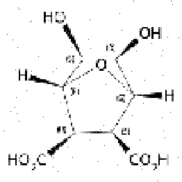 O=C(O)[C@@H]1[C@@H]2O[C@@H]([C@@H](O)[C@H]2O)[C@@H]1C(=O)O